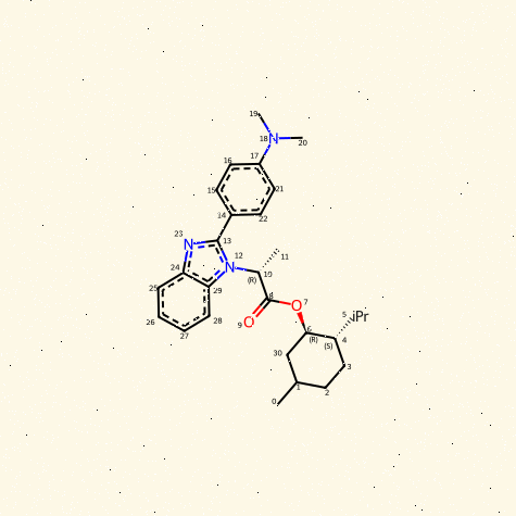 CC1CC[C@@H](C(C)C)[C@H](OC(=O)[C@@H](C)n2c(-c3ccc(N(C)C)cc3)nc3ccccc32)C1